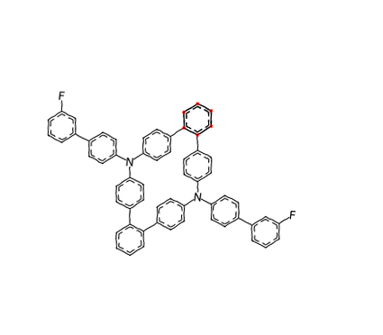 Fc1cccc(-c2ccc(N(c3ccc(-c4ccccc4)cc3)c3ccc(-c4ccccc4-c4ccc(N(c5ccc(-c6ccccc6)cc5)c5ccc(-c6cccc(F)c6)cc5)cc4)cc3)cc2)c1